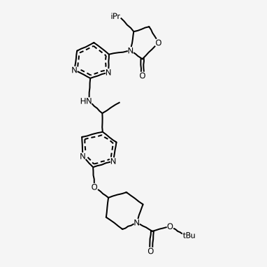 CC(Nc1nccc(N2C(=O)OCC2C(C)C)n1)c1cnc(OC2CCN(C(=O)OC(C)(C)C)CC2)nc1